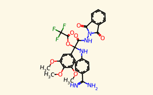 COc1cc(C(Nc2ccc(C(=N)N)cc2)(OC(=O)C(F)(F)F)C(=O)NN2C(=O)c3ccccc3C2=O)cc(OC)c1OC